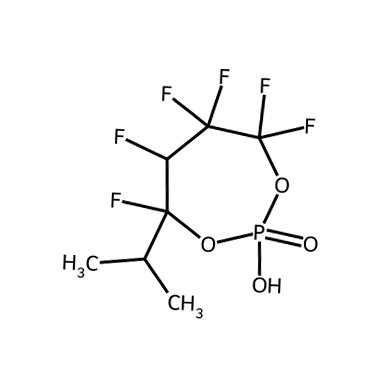 CC(C)C1(F)OP(=O)(O)OC(F)(F)C(F)(F)C1F